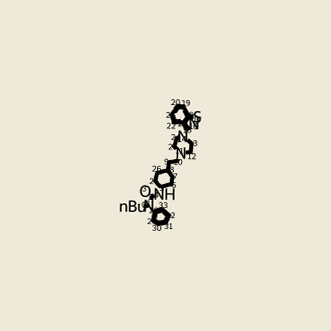 CCCCN(C(=O)NC1CCC(CCN2CCN(c3nsc4ccccc34)CC2)CC1)c1ccccc1